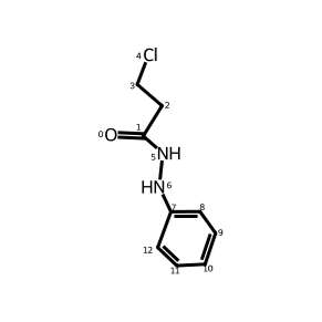 O=C(CCCl)NNc1ccccc1